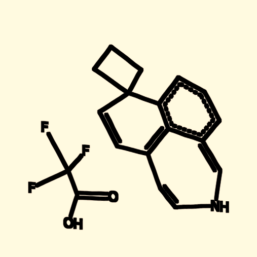 C1=CC2=c3c(cccc3=CN1)C1(C=C2)CCC1.O=C(O)C(F)(F)F